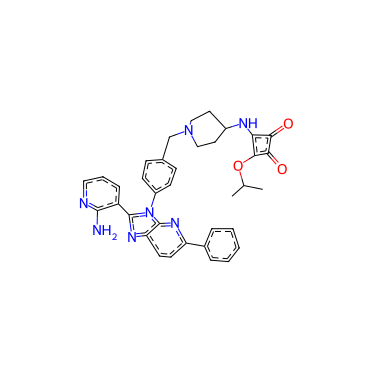 CC(C)Oc1c(NC2CCN(Cc3ccc(-n4c(-c5cccnc5N)nc5ccc(-c6ccccc6)nc54)cc3)CC2)c(=O)c1=O